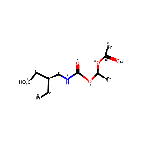 CCCC(OC(=O)NC[C@H](CC(=O)O)CC(C)C)OC(=O)C(C)C